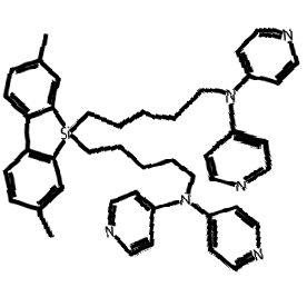 Cc1ccc2c(c1)[Si](CCCCCN(c1ccncc1)c1ccncc1)(CCCCCN(c1ccncc1)c1ccncc1)c1cc(C)ccc1-2